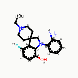 CC(C)(C)CN1CCC2(CC1)CN(c1ccccc1N)c1c(O)ccc(F)c12